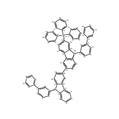 c1ccc(-c2cccc(-n3c4ccccc4c4cc(-c5ccc6c(c5)c5ccc([Si](c7ccccc7)(c7ccccc7)c7ccccc7)cc5n6-c5cccc(-c6ccccc6)c5)ccc43)c2)cc1